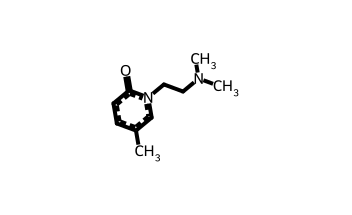 Cc1ccc(=O)n(CCN(C)C)c1